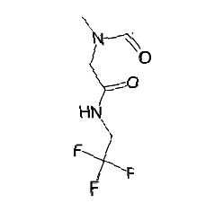 CN([C]=O)CC(=O)NCC(F)(F)F